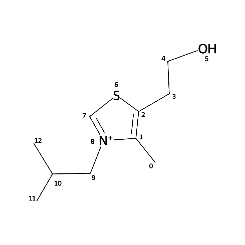 Cc1c(CCO)sc[n+]1CC(C)C